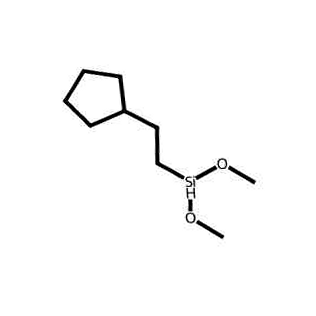 CO[SiH](CCC1CCCC1)OC